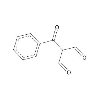 O=CC(C=O)C(=O)c1ccccc1